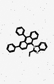 CCc1nc2ccccc2n1-c1c2ccccc2c(-c2ccccc2)c2cc(-c3ccccc3)ccc12